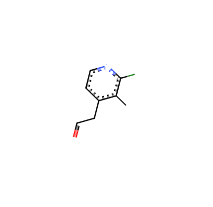 Cc1c(CC=O)ccnc1Cl